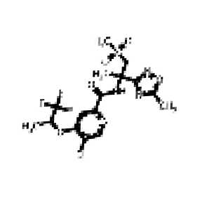 Cc1nc(C(C)(CS(C)(=O)=O)NC(=O)c2cc(O[C@@H](C)C(F)(F)F)c(Cl)cn2)no1